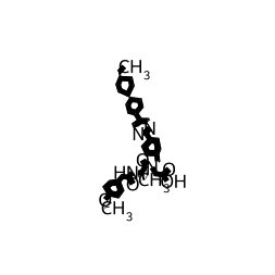 CC[C@H]1CC[C@H](C2CC=C(c3cnc(-c4ccc(CN(CC(=O)O)C(=O)[C@@H](C)NC(=O)Cc5ccc(OC)cc5)cc4)nc3)CC2)CC1